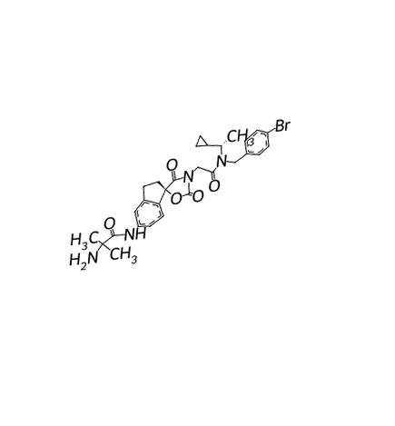 C[C@@H](C1CC1)N(Cc1ccc(Br)cc1)C(=O)CN1C(=O)O[C@@]2(CCc3cc(NC(=O)C(C)(C)N)ccc32)C1=O